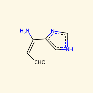 N/C(=C/C=O)c1c[nH]cn1